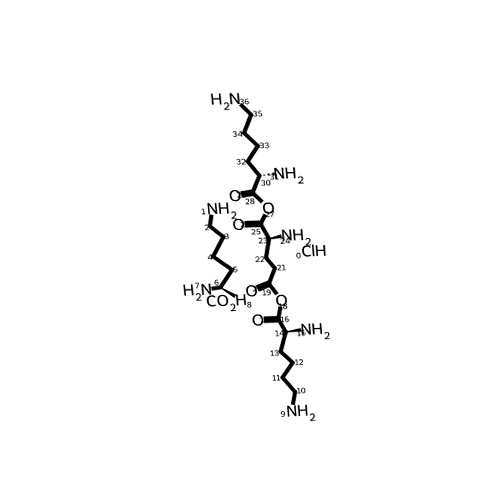 Cl.NCCCC[C@H](N)C(=O)O.NCCCC[C@H](N)C(=O)OC(=O)CC[C@H](N)C(=O)OC(=O)[C@@H](N)CCCCN